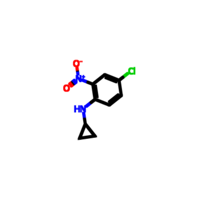 O=[N+]([O-])c1cc(Cl)ccc1NC1CC1